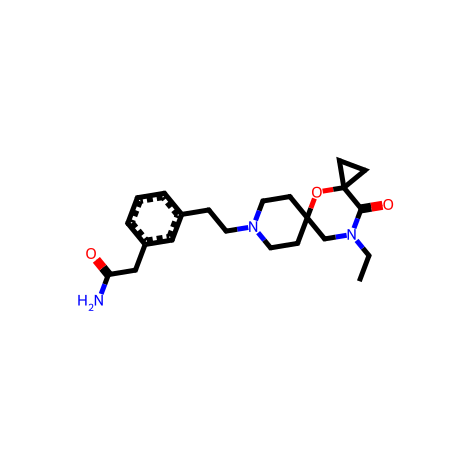 CCN1CC2(CCN(CCc3cccc(CC(N)=O)c3)CC2)OC2(CC2)C1=O